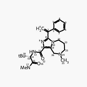 C=C(c1ccccc1)c1nc(C(=O)N[C@H](C(=O)NC)C(C)(C)C)c2n1CCCN(C)C2